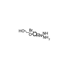 N=C(N)NCc1ccc(OCCCO)c(Br)c1